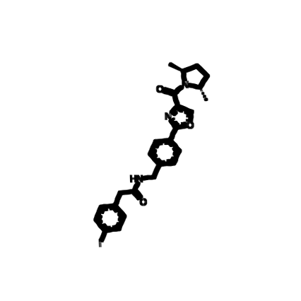 C[C@H]1CC[C@H](C)N1C(=O)c1coc(-c2ccc(CNC(=O)Cc3ccc(I)cc3)cc2)n1